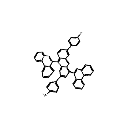 Fc1ccc(-c2ccc3c(-c4cc5ccccc5c5ccccc45)c4cc(-c5ccc(C(F)(F)F)cc5)cc(-c5cc6ccccc6c6ccccc56)c4cc3c2)cc1